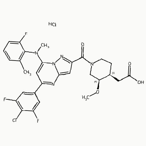 CO[C@H]1CN(C(=O)c2cc3nc(-c4cc(F)c(Cl)c(F)c4)cc(N(C)c4c(C)cccc4F)n3n2)CC[C@H]1CC(=O)O.Cl